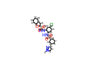 Cn1ccc(-c2cccc(S(=O)(=O)Nc3ccc(Cl)cc3NS(=O)(=O)c3cc4ccccc4o3)c2)n1